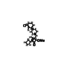 COc1c(CN2CCN(c3cccc(Cl)c3C)CC2)n(C)n(C2CCCC2)c1=O